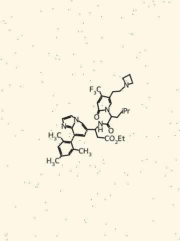 CCOC(=O)CC(NC(=O)C(CC(C)C)n1cc(CCN2CCC2)c(C(F)(F)F)cc1=O)c1cc(-c2c(C)cc(C)cc2C)c2nccn2c1